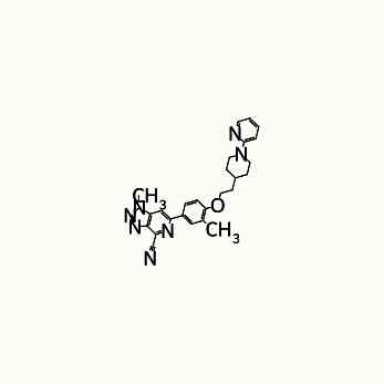 Cc1cc(-c2cc3c(nnn3C)c(C#N)n2)ccc1OCCC1CCN(c2ccccn2)CC1